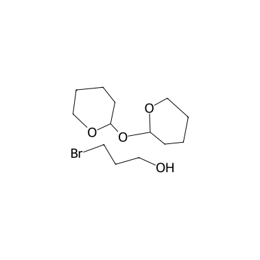 C1CCC(OC2CCCCO2)OC1.OCCCBr